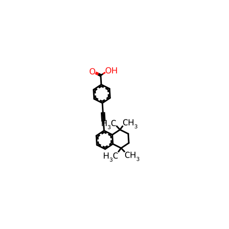 CC1(C)CCC(C)(C)c2c(C#Cc3ccc(C(=O)O)cc3)cccc21